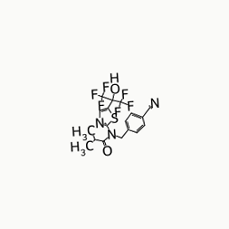 CC(C)C(=O)N(Cc1ccc(C#N)cc1)c1ncc(C(O)(C(F)(F)F)C(F)(F)F)s1